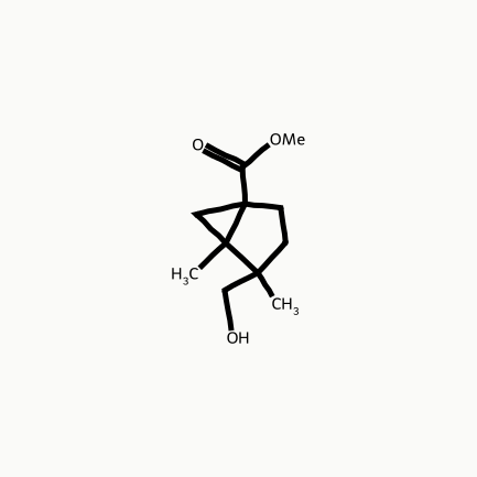 COC(=O)C12CCC(C)(CO)C1(C)C2